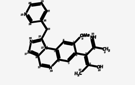 COc1cc2c(cc1/C(C(C)=N)=C(\C)O)ncc1nnc(Cc3cccnc3)n12